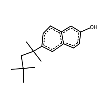 CC(C)(C)CC(C)(C)c1ccc2cc(O)ccc2c1